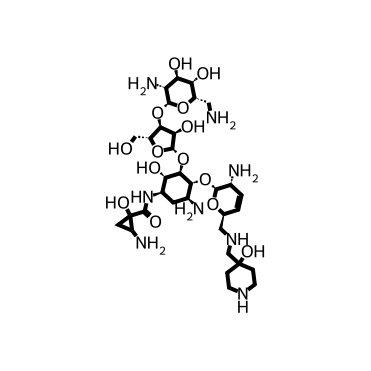 NC[C@@H]1O[C@H](O[C@H]2[C@@H](O)[C@H](O[C@@H]3[C@@H](O)[C@H](NC(=O)C4(O)CC4N)C[C@H](N)[C@H]3O[C@H]3O[C@H](CNCC4(O)CCNCC4)C=C[C@H]3N)O[C@@H]2CO)[C@H](N)[C@@H](O)[C@@H]1O